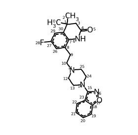 CC1(C)CC(=O)Nc2c(CCN3CCN(c4noc5ccccc45)CC3)cc(F)cc21